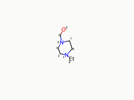 CCN1CCN(C[O])CC1